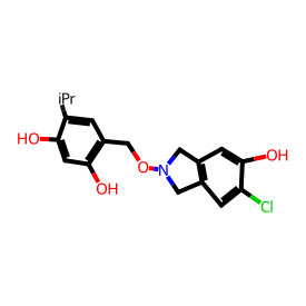 CC(C)c1cc(CON2Cc3cc(O)c(Cl)cc3C2)c(O)cc1O